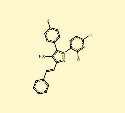 Cc1c(C=Cc2ccccc2)nn(-c2ccc(Cl)cc2Cl)c1-c1ccc(Br)cc1